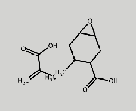 C=C(C)C(=O)O.CC1CC2OC2CC1C(=O)O